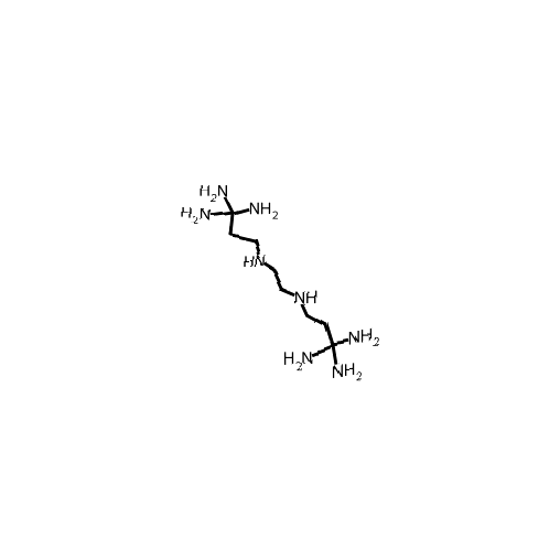 NC(N)(N)CCNCCNCCC(N)(N)N